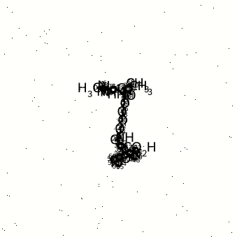 Cc1nnc(-c2ccc(CNC(CCOCCOCCOCCOCCNC(=O)c3ccc(C4=c5cc6c7c(c5Oc5c4cc4c8c5CCCN8CCC4)CCC[N+]=7CCC6)c(C(=O)O)c3)=C3C(=O)CC(C)(C)CC3=O)cc2)nn1